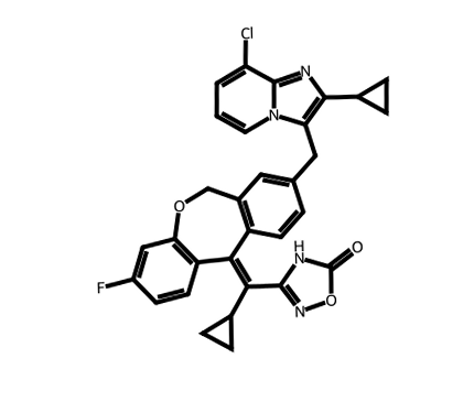 O=c1[nH]c(C(=C2c3ccc(Cc4c(C5CC5)nc5c(Cl)cccn45)cc3COc3cc(F)ccc32)C2CC2)no1